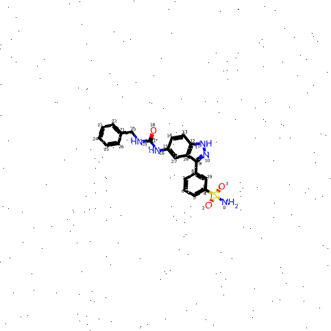 NS(=O)(=O)c1cccc(-c2n[nH]c3ccc(NC(=O)NCc4ccccc4)cc23)c1